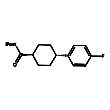 CCCC(C)C(=O)[C@H]1CC[C@H](c2ccc(F)cc2)CC1